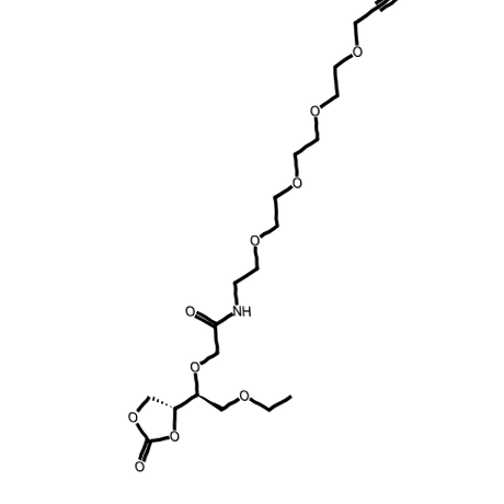 C#CCOCCOCCOCCOCCNC(=O)CO[C@@H](COCC)[C@H]1COC(=O)O1